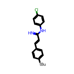 CC(C)(C)c1ccc(/C=C/C(=N)Nc2ccc(Cl)cc2)cc1